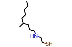 CCCCCC(C)CCCNCCS